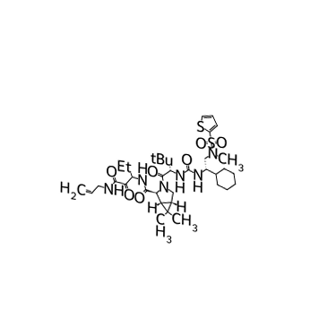 C=CCNC(=O)C(=O)C(CC)NC(=O)[C@@H]1[C@@H]2[C@H](CN1C(=O)[C@@H](NC(=O)N[C@H](CN(C)S(=O)(=O)c1cccs1)C1CCCCC1)C(C)(C)C)C2(C)C